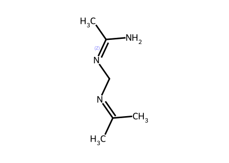 CC(C)=NC/N=C(/C)N